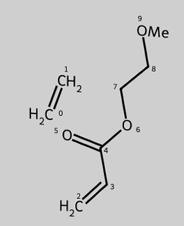 C=C.C=CC(=O)OCCOC